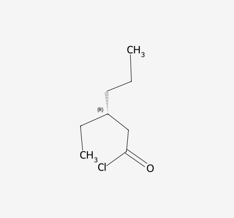 CCC[C@@H](CC)CC(=O)Cl